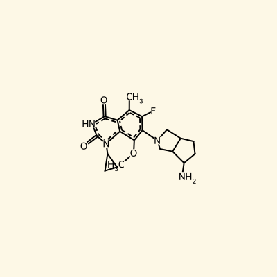 COc1c(N2CC3CCC(N)C3C2)c(F)c(C)c2c(=O)[nH]c(=O)n(C3CC3)c12